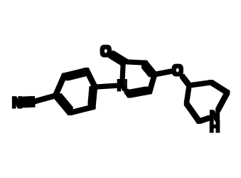 N#Cc1ccc(-n2ccc(OC3CCNCC3)cc2=O)cc1